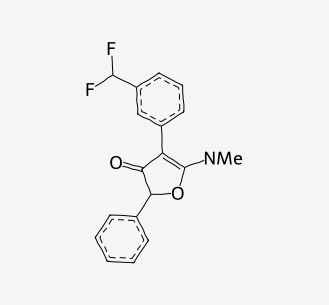 CNC1=C(c2cccc(C(F)F)c2)C(=O)C(c2ccccc2)O1